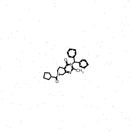 Cc1nc2c(c(=O)n1C(c1ccccc1)c1ccccc1)CCN(C(=O)C1CCCC1)C2